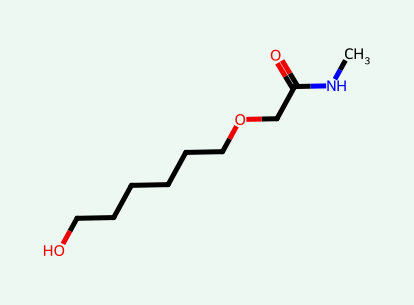 CNC(=O)COCCCCCCO